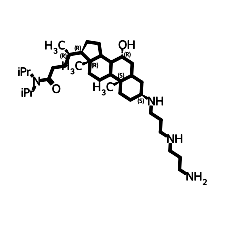 CC(C)N(C(=O)CC[C@@H](C)[C@H]1CCC2C3C(CC[C@@]21C)[C@@]1(C)CC[C@H](NCCCNCCCN)CC1C[C@H]3O)C(C)C